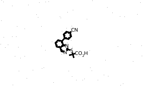 CC(C)(Sc1ncc2cccc(-c3ccc(C#N)cc3)c2n1)C(=O)O